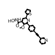 COc1c(C(=O)NO)cc(-c2cccs2)nc1-c1ccc(C#Cc2cccnc2)cc1